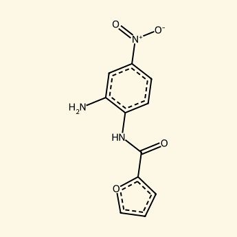 Nc1cc([N+](=O)[O-])ccc1NC(=O)c1ccco1